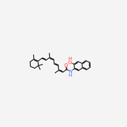 CC(C=CC1=C(C)CCCC1(C)C)=CC=CC(C)=CC(=O)Nc1cc2ccccc2cc1O